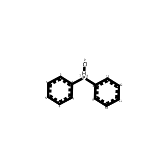 Cl[PH2](c1ccccc1)c1ccccc1